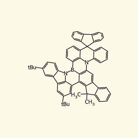 CC(C)(C)c1ccc2c(c1)c1cc(C(C)(C)C)cc3c1n2B1c2cccc4c2N(c2ccccc2C42c4ccccc4-c4ccccc42)c2cc4c(c-3c21)C(C)(C)c1ccccc1-4